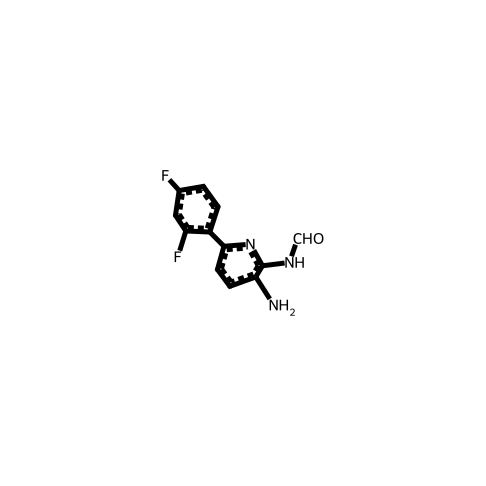 Nc1ccc(-c2ccc(F)cc2F)nc1NC=O